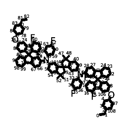 C=Cc1ccc(Oc2ccc(C3(c4cc(F)ccc4F)c4ccccc4-c4ccc(N(c5ccc(F)cc5)c5ccc6c(c5)C5(CC6(C)C)CC(C)(C)c6ccc(N(c7ccc(F)cc7)c7ccc8c(c7)C(c7ccc(Oc9ccc(C=C)cc9)cc7)(c7cc(F)ccc7F)c7ccccc7-8)cc65)cc43)cc2)cc1